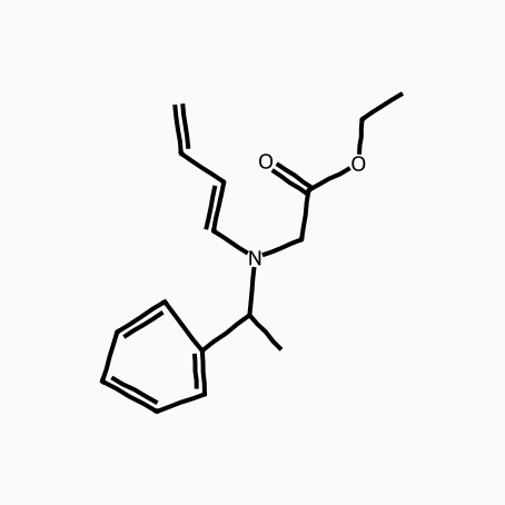 C=CC=CN(CC(=O)OCC)C(C)c1ccccc1